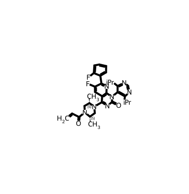 C=CC(=O)N1C[C@H](C)N(c2nc(=O)n(-c3c(C(C)C)ncnc3C(C)C)c3nc(-c4ccccc4F)c(F)cc23)C[C@@H]1C